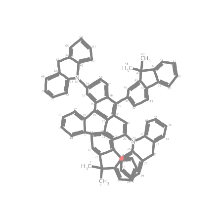 CC1(C)c2ccccc2-c2ccc(-c3ccccc3-c3c4ccc(N5c6ccccc6Cc6ccccc65)cc4c(-c4ccc5c(c4)C(C)(C)c4ccccc4-5)c4ccc(N5c6ccccc6Cc6ccccc65)cc34)cc21